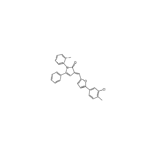 Cc1ccc(-c2ccc(/C=C3\C=C(c4ccccc4)N(c4ccccc4C)C3=O)o2)cc1Cl